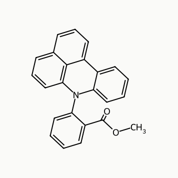 COC(=O)c1ccccc1N1c2ccccc2-c2cccc3cccc1c23